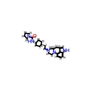 O=C(N[C@H]1CC[C@H](CCN2CCN3c4cccc5[nH]cc(c45)CC3C2)CC1)N1CCCC1